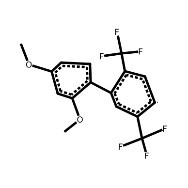 COc1ccc(-c2cc(C(F)(F)F)[c]cc2C(F)(F)F)c(OC)c1